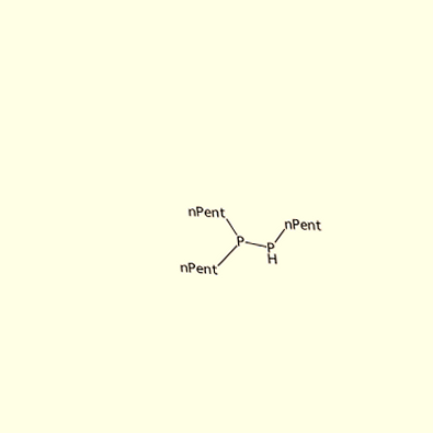 CCCCCPP(CCCCC)CCCCC